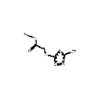 CC(C)NC(=O)COc1nnc(C(F)(F)F)s1